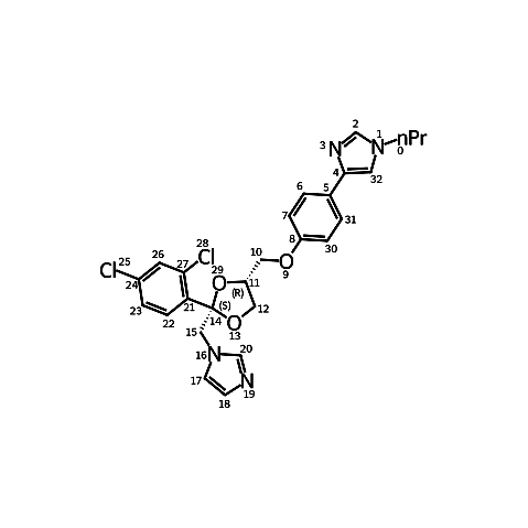 CCCn1cnc(-c2ccc(OC[C@@H]3CO[C@@](Cn4ccnc4)(c4ccc(Cl)cc4Cl)O3)cc2)c1